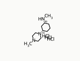 CN[C@@H]1CCC[C@H](N2CCN(C)CC2)C1.Cl.Cl.Cl